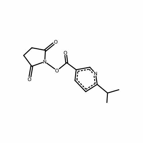 CC(C)c1ccc(C(=O)ON2C(=O)CCC2=O)cn1